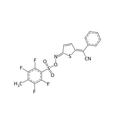 Cc1c(F)c(F)c(S(=O)(=O)ON=C2C=C/C(=C(/C#N)c3ccccc3)S2)c(F)c1F